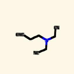 N#CCN(CC#N)CCC=O